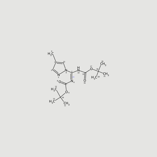 Cc1cnn(/C(=N\C(=O)OC(C)(C)C)NC(=O)OC(C)(C)C)c1